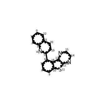 c1ccc2nc(-c3cccc4sc5nccnc5c34)ccc2c1